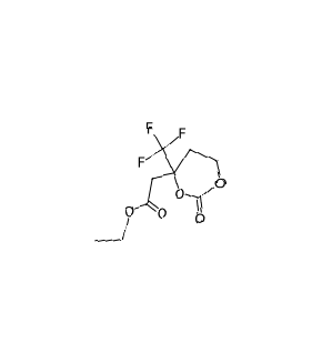 CCOC(=O)CC1(C(F)(F)F)CCOC(=O)O1